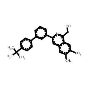 Cc1cc2cc(-c3cccc(-c4ccc(C(C)(C)C)cc4)c3)nc(CO)c2cc1C